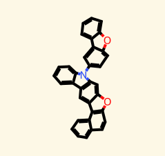 c1ccc2c(c1)ccc1oc3cc4c(cc3c12)c1ccccc1n4-c1ccc2oc3ccccc3c2c1